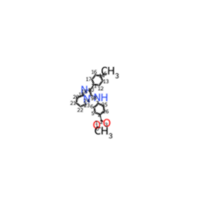 COC(=O)c1ccc(Nc2c(-c3ccc(C)cc3)nc3ccccn23)cc1